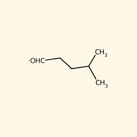 CC(C)[CH]C[C]=O